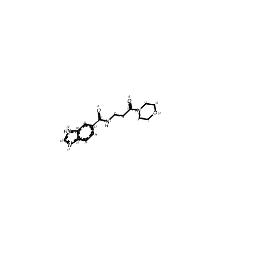 O=C(NCCC(=O)N1CCOCC1)c1ccc2nc[nH]c2c1